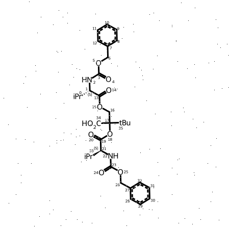 CC(C)[C@H](NC(=O)OCc1ccccc1)C(=O)OCC(OC(=O)[C@@H](NC(=O)OCc1ccccc1)C(C)C)(C(=O)O)C(C)(C)C